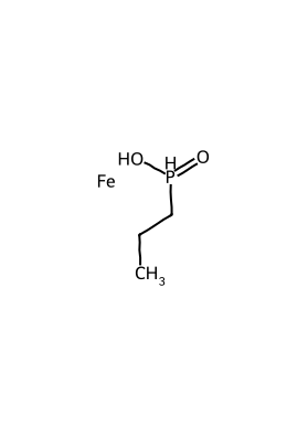 CCC[PH](=O)O.[Fe]